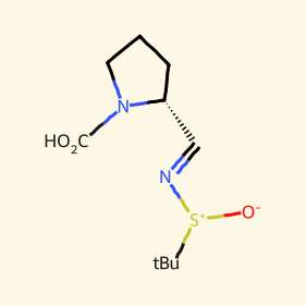 CC(C)(C)[S+]([O-])N=C[C@H]1CCCN1C(=O)O